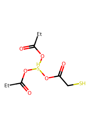 CCC(=O)O[SH](OC(=O)CC)OC(=O)CS